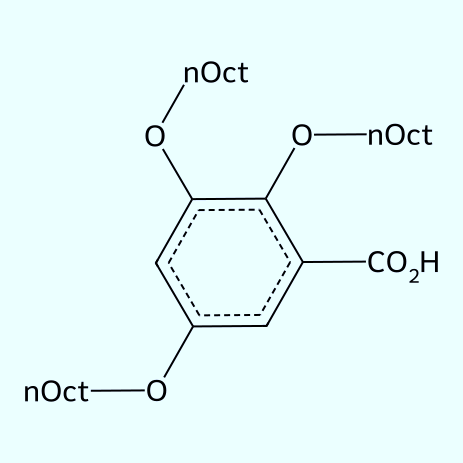 CCCCCCCCOc1cc(OCCCCCCCC)c(OCCCCCCCC)c(C(=O)O)c1